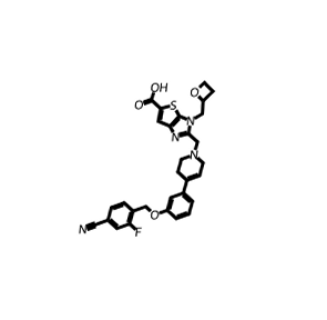 N#Cc1ccc(COc2cccc(C3=CCN(Cc4nc5cc(C(=O)O)sc5n4CC4CCO4)CC3)c2)c(F)c1